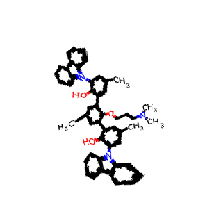 Cc1cc(-c2cc(C)cc(-n3c4ccccc4c4ccccc43)c2O)c(OCCCN(C)C)c(-c2cc(C)cc(-n3c4ccccc4c4ccccc43)c2O)c1